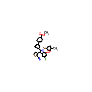 COC(=O)C1=CC=C(c2cccc(-c3c(-c4ccsc4C#N)c4cc(F)cc(O)c4n3Sc3ccc(C)cc3)c2)CC1